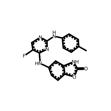 Cc1ccc(Nc2ncc(F)c(Nc3ccc4oc(=O)[nH]c4c3)n2)cc1